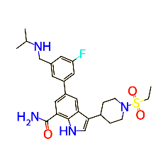 CCS(=O)(=O)N1CCC(c2c[nH]c3c(C(N)=O)cc(-c4cc(F)cc(CNC(C)C)c4)cc23)CC1